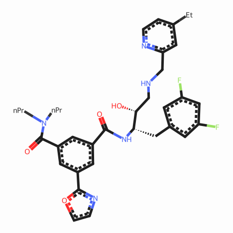 CCCN(CCC)C(=O)c1cc(C(=O)N[C@@H](Cc2cc(F)cc(F)c2)[C@H](O)CNCc2cc(CC)ccn2)cc(-c2ncco2)c1